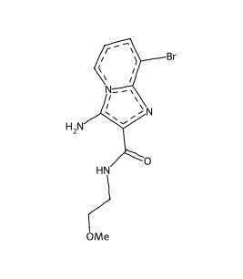 COCCNC(=O)c1nc2c(Br)cccn2c1N